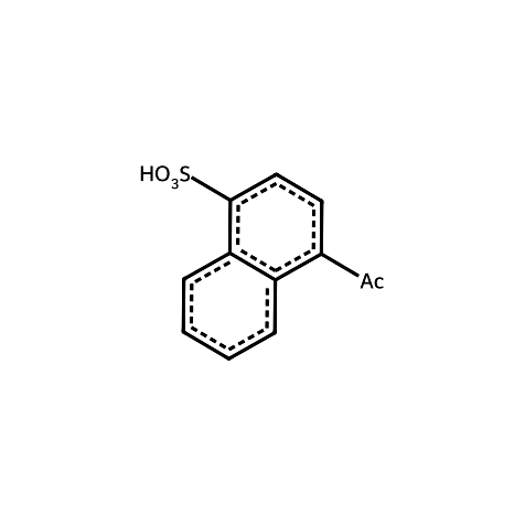 CC(=O)c1ccc(S(=O)(=O)O)c2ccccc12